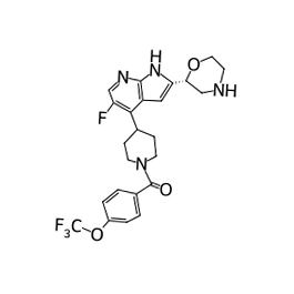 O=C(c1ccc(OC(F)(F)F)cc1)N1CCC(c2c(F)cnc3[nH]c([C@H]4CNCCO4)cc23)CC1